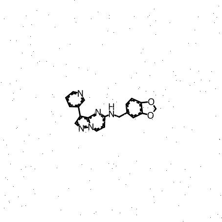 c1cncc(-c2cnn3ccc(NCc4ccc5c(c4)OCO5)nc23)c1